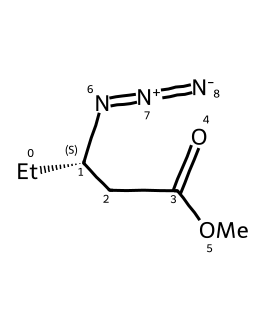 CC[C@@H](CC(=O)OC)N=[N+]=[N-]